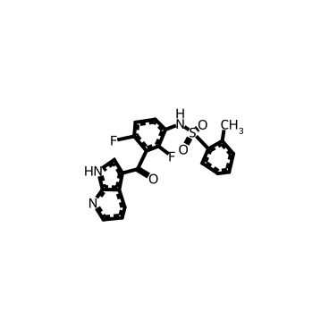 Cc1ccccc1S(=O)(=O)Nc1ccc(F)c(C(=O)c2c[nH]c3ncccc23)c1F